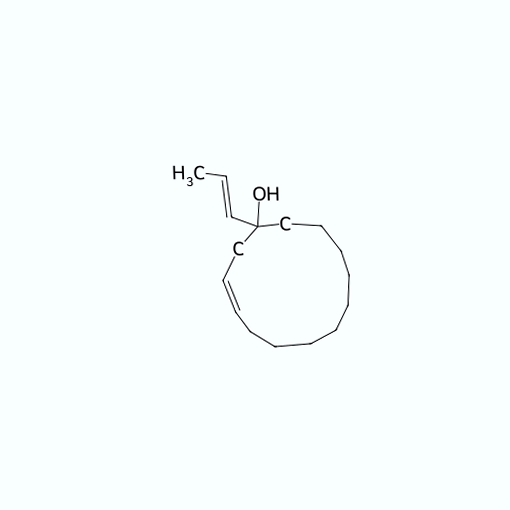 CC=CC1(O)CC=CCCCCCCCCC1